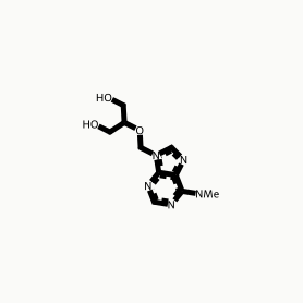 CNc1ncnc2c1ncn2COC(CO)CO